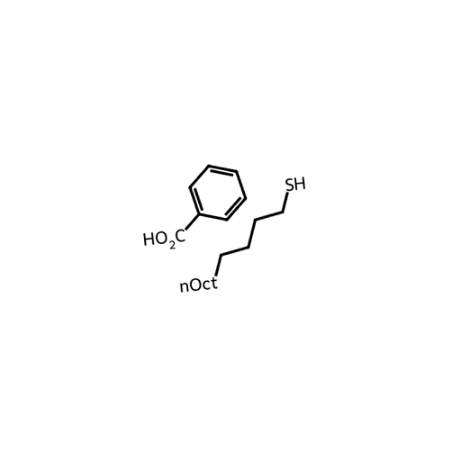 CCCCCCCCCCCCS.O=C(O)c1ccccc1